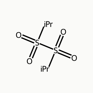 CC(C)S(=O)(=O)S(=O)(=O)C(C)C